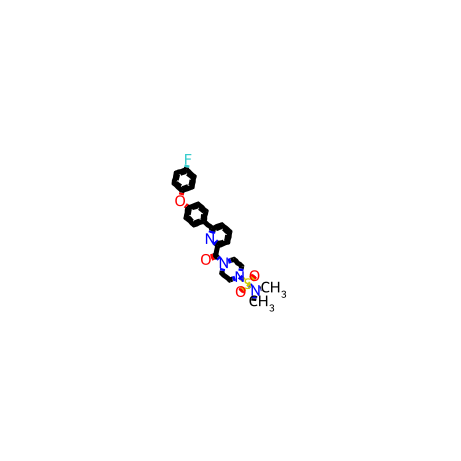 CN(C)S(=O)(=O)N1CCN(C(=O)c2cccc(-c3ccc(Oc4ccc(F)cc4)cc3)n2)CC1